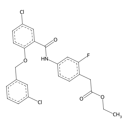 CCOC(=O)Cc1ccc(NC(=O)c2cc(Cl)ccc2OCc2cccc(Cl)c2)cc1F